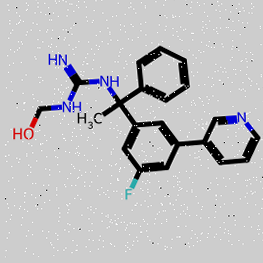 CC(NC(=N)NCO)(c1ccccc1)c1cc(F)cc(-c2cccnc2)c1